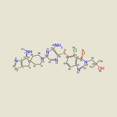 CN[C@@H]1c2ncsc2CC12CCN(c1cnc(Sc3ccc4ncn(CC(C)(C)O)c(=O)c4c3Cl)c(N)n1)CC2